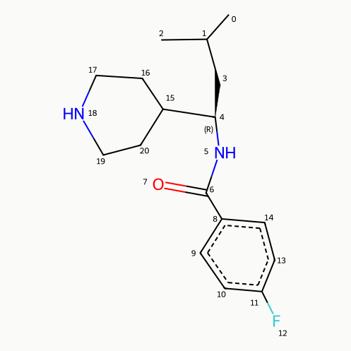 CC(C)C[C@@H](NC(=O)c1ccc(F)cc1)C1CCNCC1